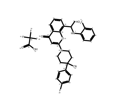 CC(Nc1ccccc1C(=O)O)c1cccc2c(=O)cc(N3CCC(C#N)(c4ccc(F)cc4)CC3)oc12.O=C(O)C(F)(F)F